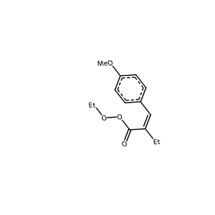 CCOOC(=O)C(=Cc1ccc(OC)cc1)CC